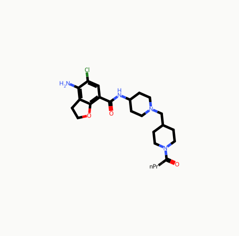 CCCC(=O)N1CCC(CN2CCC(NC(=O)c3cc(Cl)c(N)c4c3OCC4)CC2)CC1